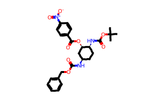 CC(C)(C)OC(=O)N[C@@H]1CC[C@@H](NC(=O)OCc2ccccc2)C[C@@H]1OC(=O)c1ccc([N+](=O)[O-])cc1